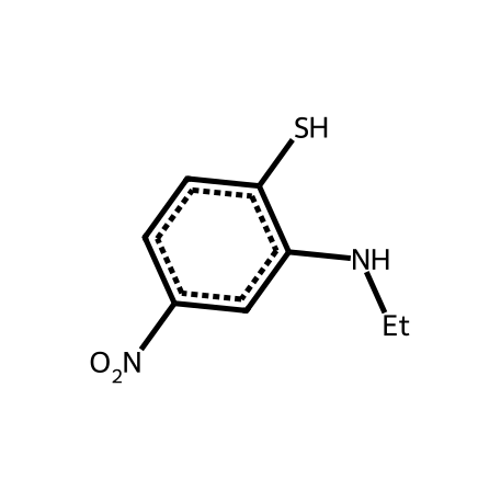 CCNc1cc([N+](=O)[O-])ccc1S